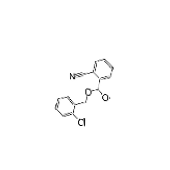 N#Cc1ccccc1C([O])OCc1ccccc1Cl